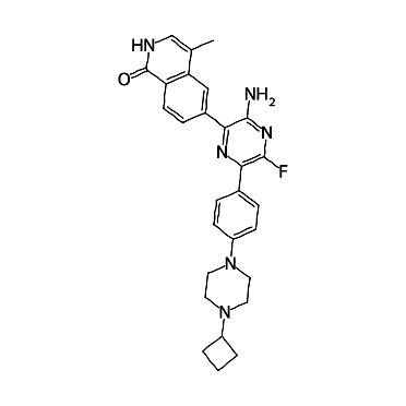 Cc1c[nH]c(=O)c2ccc(-c3nc(-c4ccc(N5CCN(C6CCC6)CC5)cc4)c(F)nc3N)cc12